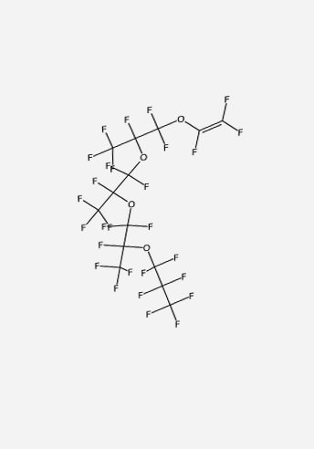 FC(F)=C(F)OC(F)(F)C(F)(OC(F)(F)C(F)(OC(F)(F)C(F)(OC(F)(F)C(F)(F)C(F)(F)F)C(F)(F)F)C(F)(F)F)C(F)(F)F